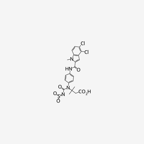 Cn1c(C(=O)Nc2ccc(N(C(=O)N=S(=O)=O)C(C)(C)CC(=O)O)cc2)cc2c(Cl)c(Cl)ccc21